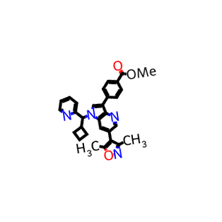 COC(=O)c1ccc(-c2cn(C(c3ccccn3)C3CCC3)c3cc(-c4c(C)noc4C)cnc23)cc1